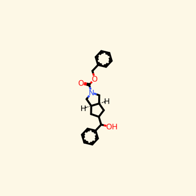 O=C(OCc1ccccc1)N1C[C@H]2CC(C(O)c3ccccc3)C[C@H]2C1